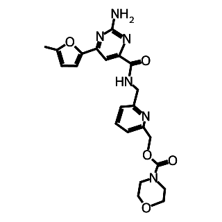 Cc1ccc(-c2cc(C(=O)NCc3cccc(COC(=O)N4CCOCC4)n3)nc(N)n2)o1